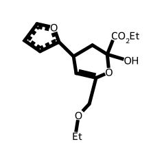 CCOCC1=CC(c2ccco2)CC(O)(C(=O)OCC)O1